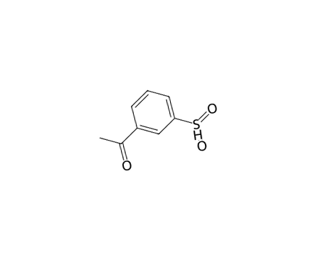 CC(=O)c1cccc([SH](=O)=O)c1